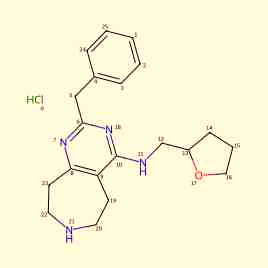 Cl.c1ccc(Cc2nc3c(c(NCC4CCCO4)n2)CCNCC3)cc1